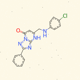 O=c1cc(CNc2ccc(Cl)cc2)[nH]c2nc(-c3ccccc3)nn12